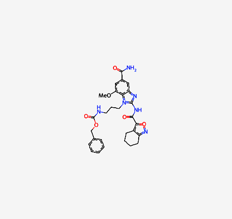 COc1cc(C(N)=O)cc2nc(NC(=O)c3onc4c3CCCC4)n(CCCNC(=O)OCc3ccccc3)c12